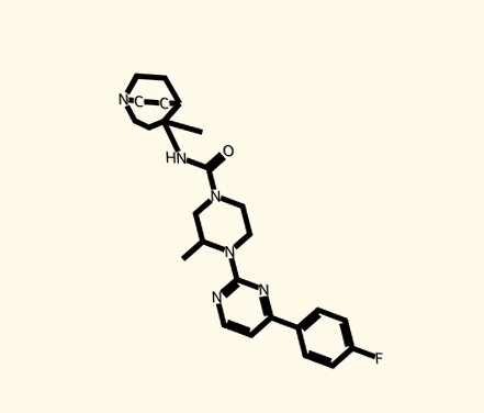 CC1CN(C(=O)NC2(C)CCN3CCC2CC3)CCN1c1nccc(-c2ccc(F)cc2)n1